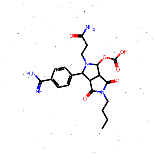 CCCCN1C(=O)C2C(C1=O)C(c1ccc(C(=N)N)cc1)N(CCC(N)=O)C2OC(=O)O